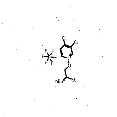 CCCCC(CC)CO[n+]1ccc(Cl)c(Cl)c1.F[P-](F)(F)(F)(F)F